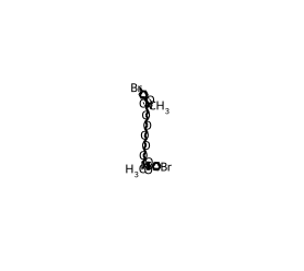 CN(CCOCCOCCOCCOCCOCCN(C)S(=O)(=O)c1ccc(Br)cc1)S(=O)(=O)c1ccc(Br)cc1